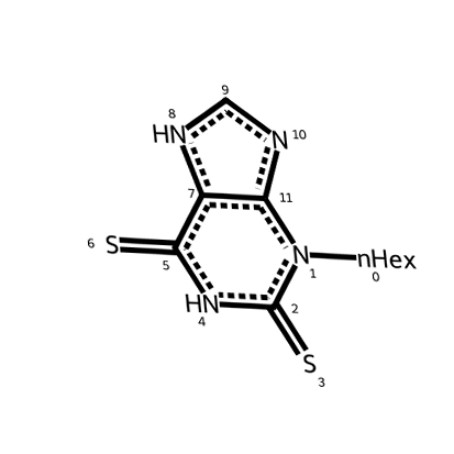 CCCCCCn1c(=S)[nH]c(=S)c2[nH]cnc21